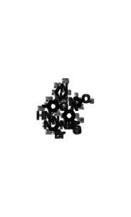 COc1cnn(-c2ccc(Nc3nc(Nc4cc(OC)c(N5CCN(C)CC5)cc4C)ncc3Br)c(P(C)(C)=O)c2)c1